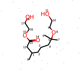 CC(CCCC(C)(C)OCCO)CC(=O)OCCO